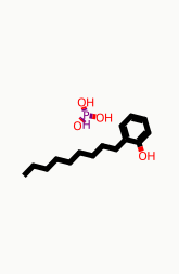 CCCCCCCCCc1ccccc1O.O=[PH](O)O